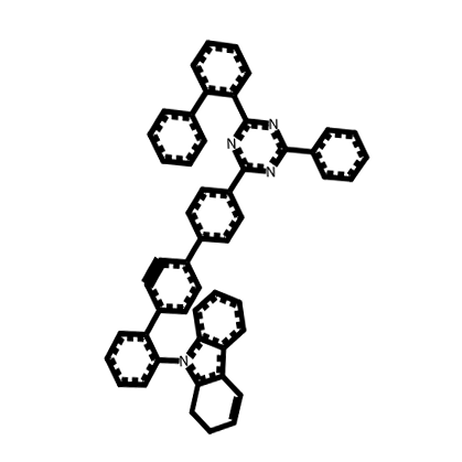 c1c(-c2ccc(-c3nc(-c4ccccc4)nc(-c4ccccc4-c4ccccc4)n3)cc2)ccc(-c2ccccc2-n2c3c(c4ccccc42)C=CCC3)c#1